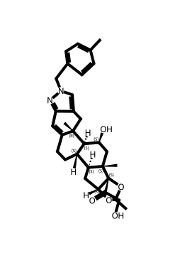 Cc1ccc(Cn2cc3c(n2)C=C2CC[C@@H]4[C@H]([C@@H](O)C[C@@]5(C)[C@H]4C[C@H]4OC(C)O[C@]45C(=O)CO)[C@@]2(C)C3)cc1